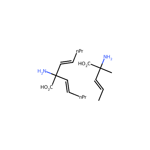 CC=CC(C)(N)C(=O)O.CCCC=CC(N)(C=CCCC)C(=O)O